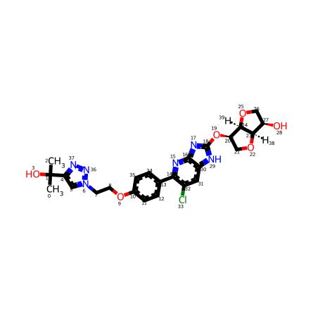 CC(C)(O)c1cn(CCOc2ccc(-c3nc4nc(O[C@@H]5CO[C@H]6[C@@H]5OC[C@H]6O)[nH]c4cc3Cl)cc2)nn1